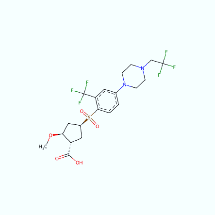 CO[C@H]1C[C@@H](S(=O)(=O)c2ccc(N3CCN(CC(F)(F)F)CC3)cc2C(F)(F)F)C[C@@H]1C(=O)O